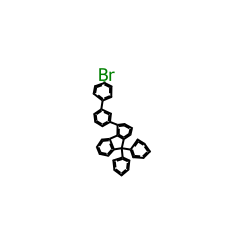 Brc1ccc(-c2cccc(-c3cccc4c3-c3ccccc3C4(c3ccccc3)c3ccccc3)c2)cc1